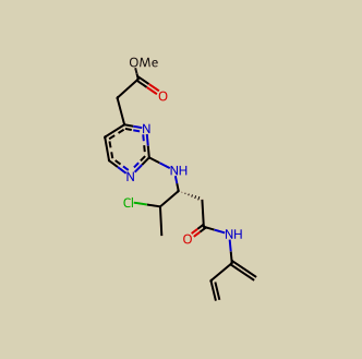 C=CC(=C)NC(=O)C[C@@H](Nc1nccc(CC(=O)OC)n1)C(C)Cl